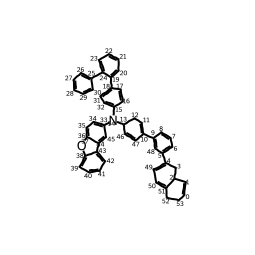 C1=CC2CC(c3cccc(C4=CCC(N(c5ccc(-c6ccccc6-c6ccccc6)cc5)c5ccc6oc7ccccc7c6c5)C=C4)c3)=CC=C2CC1